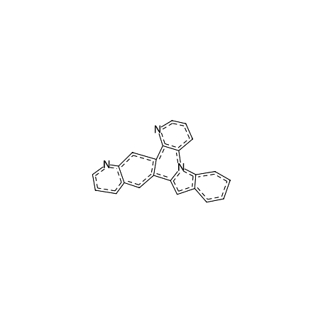 c1cnc2cc3c(cc2c1)c1cc2ccccc2n1c1cccnc31